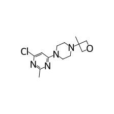 Cc1nc(Cl)cc(N2CCN(C3(C)COC3)CC2)n1